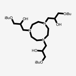 CC(C)COCC(O)CN1CCN(CC(O)COCC(C)C)CCN(CC(O)COCC(C)C)CC1